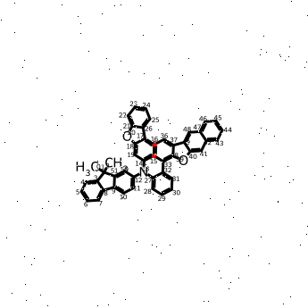 CC1(C)c2ccccc2-c2ccc(N(c3ccc4c(c3)oc3ccccc34)c3ccccc3-c3cccc4c3oc3cc5ccccc5cc34)cc21